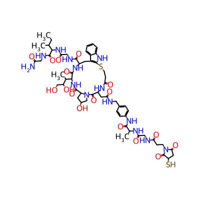 CCC(C)C(NC(=O)CNC(=O)C1Cc2c([nH]c3ccccc23)SCCC(=O)NC(CC(=O)NCc2ccc(NC(=O)C(C)NC(=O)CNC(=O)CCN3C(=O)CC(S)C3=O)cc2)C(=O)N2CC(O)CC2C(=O)NC(C(C)C(O)CO)C(=O)N1)C(=O)NCC(N)=O